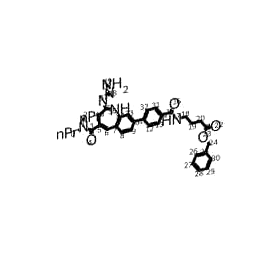 CCCN(CCC)C(=O)C1=Cc2ccc(-c3ccc(C(=O)NCCCC(=O)OCc4ccccc4)cc3)cc2NC(N=NN)C1